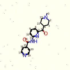 CN1CCC(C(=O)c2cccc(NC(=O)c3ccncc3)n2)CC1